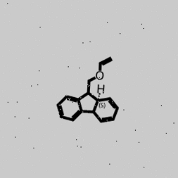 C=COCC1c2ccccc2C2C=CC=C[C@@H]21